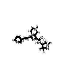 CNC(=O)C(NC(=O)c1nc(C#Cc2cccnc2)n2c1CN(C)CC2)C(C)(C)C